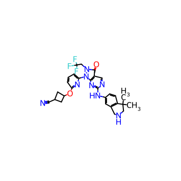 CC1(C)CNCc2cc(Nc3ncc4c(=O)n(CC(F)(F)F)n(-c5cccc(OC6CC(C#N)C6)n5)c4n3)ccc21